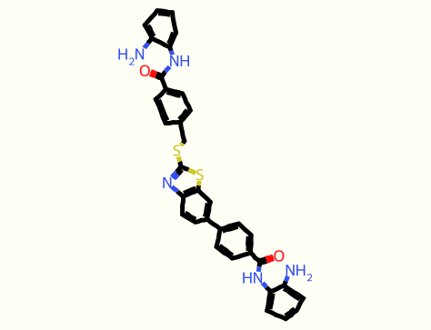 Nc1ccccc1NC(=O)c1ccc(CSc2nc3ccc(-c4ccc(C(=O)Nc5ccccc5N)cc4)cc3s2)cc1